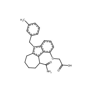 Cc1cccc(Cn2c3c(c4c(OCC(=O)O)cccc42)C(C(N)=O)CCCC3)c1